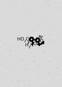 CC1(C)CC(C)(C)c2cc(-c3ccc(C(=O)O)c(F)c3C(N)=O)cc(Br)c2O1